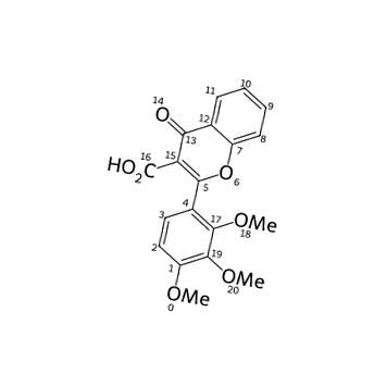 COc1ccc(-c2oc3ccccc3c(=O)c2C(=O)O)c(OC)c1OC